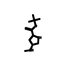 CN[C@@H]1CNC(C(=O)OC(C)(C)C)C1